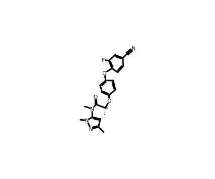 Cc1cc(N(C)C(=O)[C@@H](C)Oc2ccc(Oc3ccc(C#N)cc3F)cc2)n(C)n1